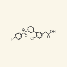 O=C(O)Cc1ccc(Cl)c(C2CCCN(S(=O)(=O)c3ccc(F)cc3)C2)c1